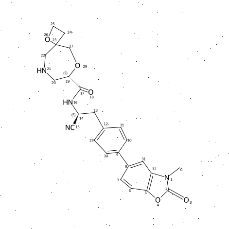 Cn1c(=O)oc2ccc(-c3ccc(C[C@@H](C#N)NC(=O)[C@@H]4CNCC5(CCO5)CO4)cc3)cc21